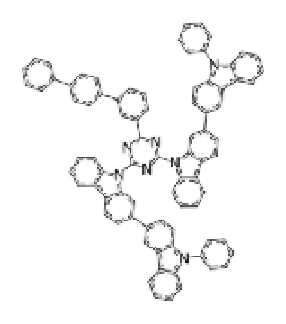 c1ccc(-c2ccc(-c3cccc(-c4nc(-n5c6ccccc6c6ccc(-c7ccc8c(c7)c7ccccc7n8-c7ccccc7)cc65)nc(-n5c6ccccc6c6ccc(-c7ccc8c(c7)c7ccccc7n8-c7ccccc7)cc65)n4)c3)cc2)cc1